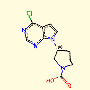 O=C(O)N1CC[C@@H](n2ccc3c(Cl)ncnc32)C1